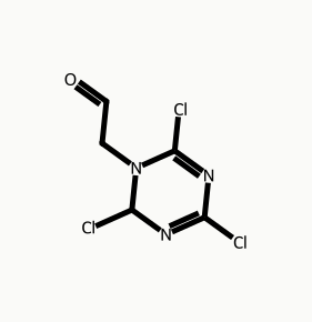 O=CCN1C(Cl)=NC(Cl)=NC1Cl